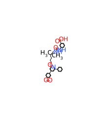 CC(C)(CCCCOc1cc(-c2ccc3c(c2)OCO3)cc(-c2ccccc2)n1)CNC(=O)Nc1cccc(C(=O)O)c1